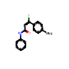 COc1ccc(/C(F)=C\C(=O)Nc2ccccc2)cc1